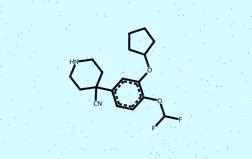 N#CC1(c2ccc(OC(F)F)c(OC3CCCC3)c2)CCNCC1